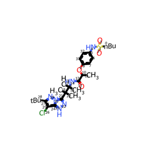 CCCCS(=O)(=O)Nc1ccc(OC(C)C(=O)NC(C)(C)C(C)(C)c2n[nH]c3c(Cl)c(C(C)(C)C)nn23)cc1